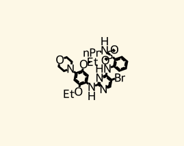 CCCNS(=O)(=O)c1ccccc1Nc1nc(Nc2cc(OCC)c(N3CCOCC3)cc2OCC)ncc1Br